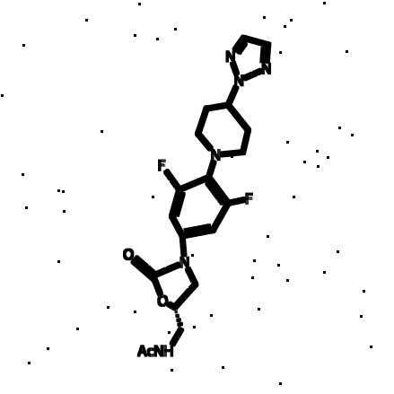 CC(=O)NC[C@H]1CN(c2cc(F)c(N3CCC(n4nccn4)CC3)c(F)c2)C(=O)O1